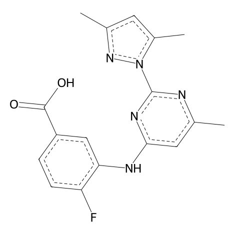 Cc1cc(Nc2cc(C(=O)O)ccc2F)nc(-n2nc(C)cc2C)n1